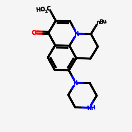 CCCCC1CCc2c(N3CCNCC3)ccc3c(=O)c(C(=O)O)cn1c23